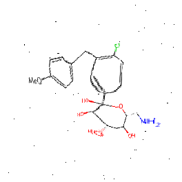 COc1ccc(Cc2cc([C@]3(O)O[C@H](CN)[C@@H](O)[C@H](O)[C@H]3O)ccc2Cl)cc1